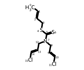 CC=CCSC(=S)N(CC=CCl)CC=CCl